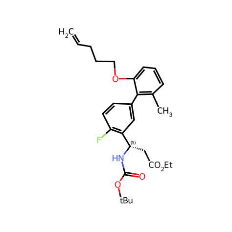 C=CCCCOc1cccc(C)c1-c1ccc(F)c([C@H](CC(=O)OCC)NC(=O)OC(C)(C)C)c1